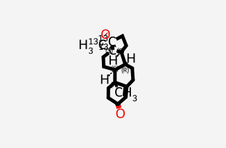 C[C@]12CCC(=O)C=C1CC[C@@H]1[C@@H]2CC[13C@@]2([13CH3])[C@H]1CC[13C]2=O